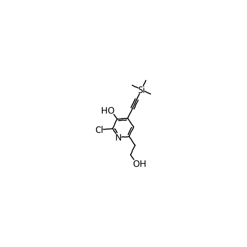 C[Si](C)(C)C#Cc1cc(CCO)nc(Cl)c1O